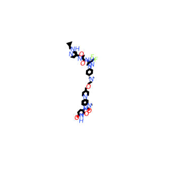 CN(CCOCC1CCN(c2ccc3c(c2)n(C)c(=O)n3C2CCC(=O)NC2=O)CC1)C[C@H]1CC[C@H](n2cc(NC(=O)c3coc(-c4ccnc(NCC5CC5)c4)n3)c(C(F)F)n2)CC1